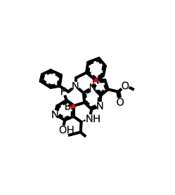 COC(=O)c1cnn2c(N(Cc3ccccc3)Cc3ccccc3)c(Br)c(N[C@@H](c3cc(F)cnc3O)C(C)C)nc12